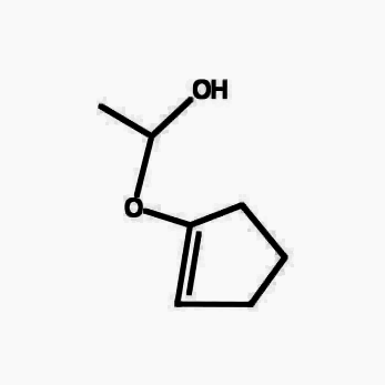 CC(O)OC1=CCCC1